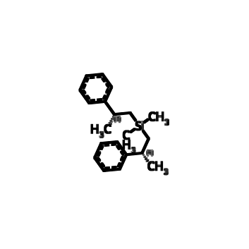 C[C@@H](C[Si](C)(C)C[C@H](C)c1ccccc1)c1ccccc1